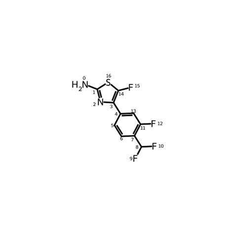 Nc1nc(-c2ccc(C(F)F)c(F)c2)c(F)s1